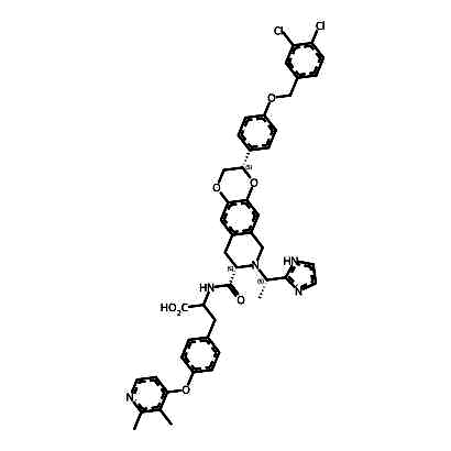 Cc1nccc(Oc2ccc(CC(NC(=O)[C@@H]3Cc4cc5c(cc4CN3[C@@H](C)c3ncc[nH]3)O[C@@H](c3ccc(OCc4ccc(Cl)c(Cl)c4)cc3)CO5)C(=O)O)cc2)c1C